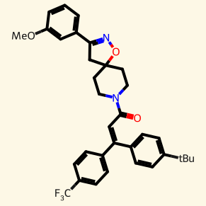 COc1cccc(C2=NOC3(CCN(C(=O)/C=C(\c4ccc(C(C)(C)C)cc4)c4ccc(C(F)(F)F)cc4)CC3)C2)c1